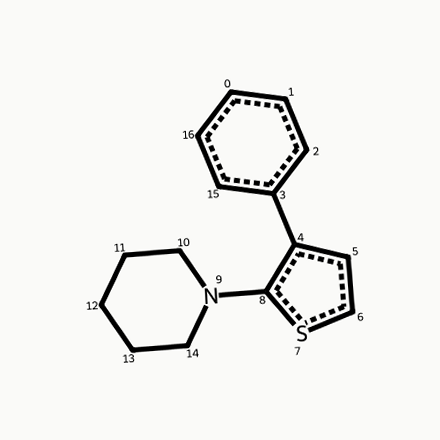 c1ccc(-c2ccsc2N2CCCCC2)cc1